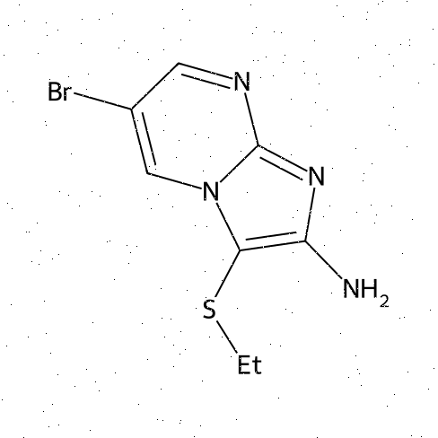 CCSc1c(N)nc2ncc(Br)cn12